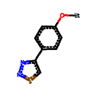 CCOc1ccc(-c2csnn2)cc1